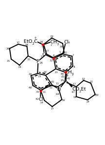 CCOC(=O)C(C)Oc1c(Cl)ccc(P(C2CCCCC2)C2CCCCC2)c1-c1c(P(C2CCCCC2)C2CCCCC2)ccc(Cl)c1O[C@@H](C)C(=O)OCC